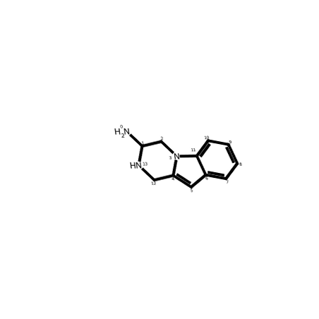 NC1Cn2c(cc3ccccc32)CN1